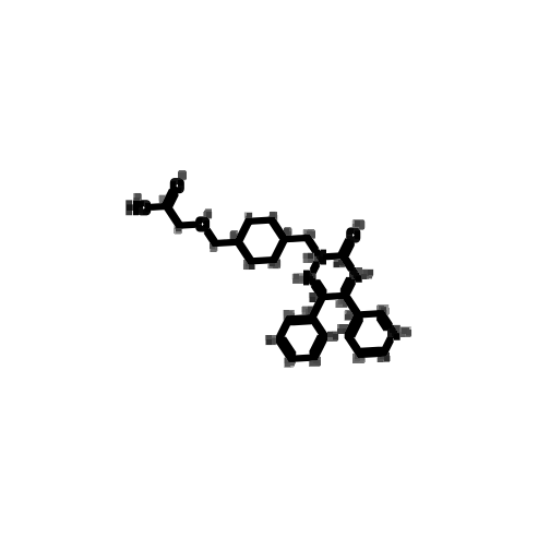 O=C(O)COCC1CCC(Cn2nc(-c3ccccc3)c(-c3cccnc3)nc2=O)CC1